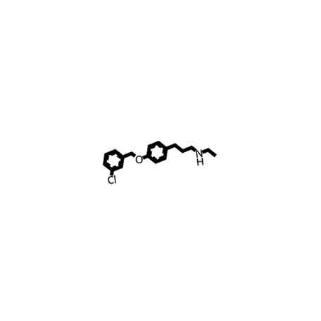 CCNCCCc1ccc(OCc2cccc(Cl)c2)cc1